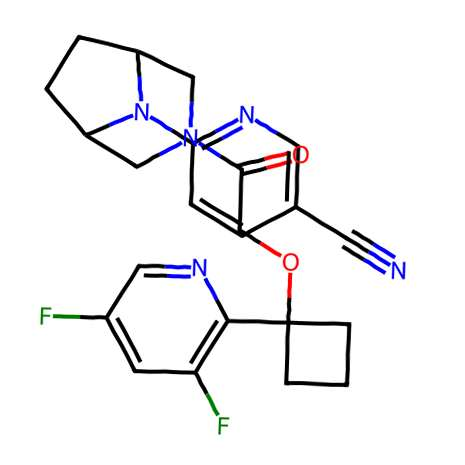 N#Cc1ccc(N2C3CCC2CN(C(=O)COC2(c4ncc(F)cc4F)CCC2)C3)nc1